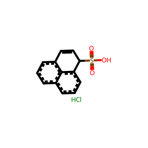 Cl.O=S(=O)(O)C1C=Cc2cccc3cccc1c23